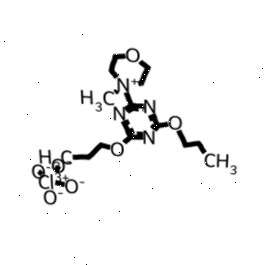 CCCOc1nc(OCCC)nc([N+]2(C)CCOCC2)n1.[O-][Cl+3]([O-])([O-])[O-]